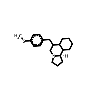 CSc1ccc(CC2CN3CCC[C@@H]3C3CCCCC23)cc1